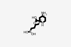 N[C@H]1CCN[C@](CCCCB(O)O)(C(=O)O)C1